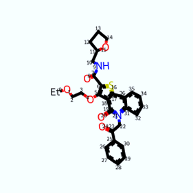 CCOCCOc1c(C(=O)NCC2CCCO2)sc2c1c(=O)n(CC(=O)c1ccccc1)c1ccccc21